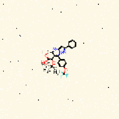 Cc1nc2cc(-c3ccccc3)nn2c(-c2ccc(OC(F)(F)F)cc2)c1C(OC(C)(C)C)C(=O)O